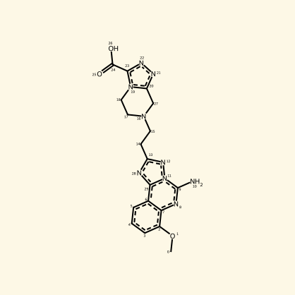 COc1cccc2c1nc(N)n1nc(CCN3CCn4c(nnc4C(=O)O)C3)nc21